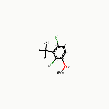 CCC(C)(C)c1c(F)ccc(OC(C)C)c1F